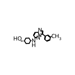 Cc1cccc(-c2cnc3ccc(N[C@H]4CC[C@H](CO)CC4)nn23)c1